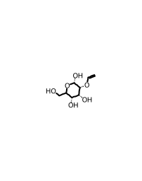 C=CO[C@@H]1[C@H](O)[C@H](O)C(CO)O[C@@H]1O